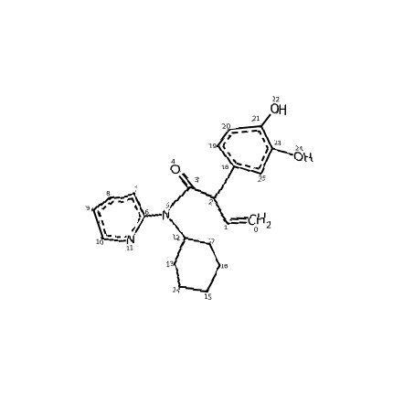 C=CC(C(=O)N(c1ccccn1)C1CCCCC1)c1ccc(O)c(O)c1